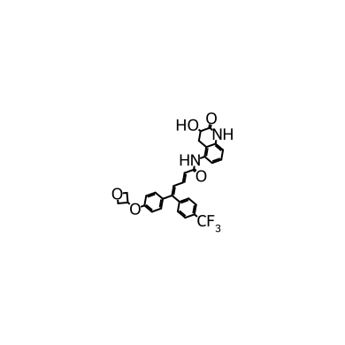 O=C(C=CC=C(c1ccc(OC2COC2)cc1)c1ccc(C(F)(F)F)cc1)Nc1cccc2c1CC(O)C(=O)N2